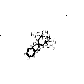 CC1(C)CC2(CC(C)(C)N1)Oc1ccccc1O2